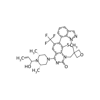 C=CC(O)N1[C@H](C)CN(c2nc(=O)n3c4c(c(-c5cccc6cnn(C)c56)c(C(F)(F)F)cc24)SCC2(COC2)C3)C[C@@H]1C